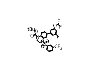 CC(C)(C)OC(=O)N1CCN(S(=O)(=O)c2cccc(C(F)(F)F)c2)c2cc(-c3cc(F)cc(OC(F)F)c3)ccc21